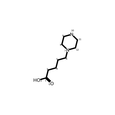 O=C(O)CCCCN1CC[N]CC1